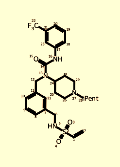 C=CS(=O)(=O)NCc1cccc(CN(C(=O)Nc2cccc(C(F)(F)F)c2)C2CCN(C(C)CCC)CC2)c1